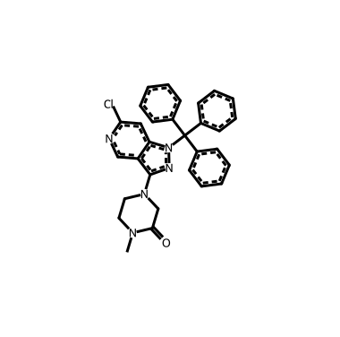 CN1CCN(c2nn(C(c3ccccc3)(c3ccccc3)c3ccccc3)c3cc(Cl)ncc23)CC1=O